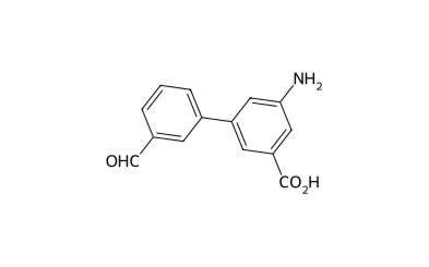 Nc1cc(C(=O)O)cc(-c2cccc(C=O)c2)c1